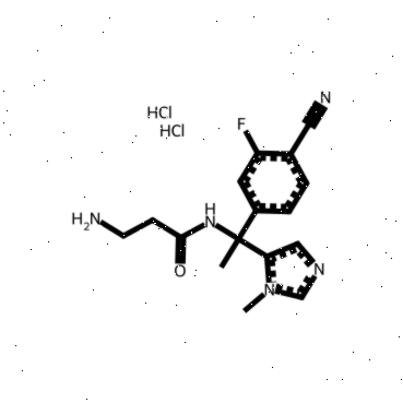 Cl.Cl.Cn1cncc1C(C)(NC(=O)CCN)c1ccc(C#N)c(F)c1